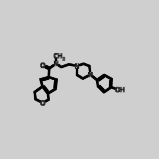 CN(CCN1CCN(c2ccc(O)cc2)CC1)C(=O)c1ccc2c(c1)CCOC2